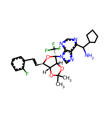 CC1(C)O[C@H]2[C@@H](O1)[C@@](n1cnc3c(C(N)C4CCCC4)ncnc31)(C(F)(F)F)O[C@@H]2C=Cc1ccccc1F